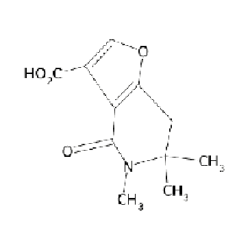 CN1C(=O)c2c(C(=O)O)coc2CC1(C)C